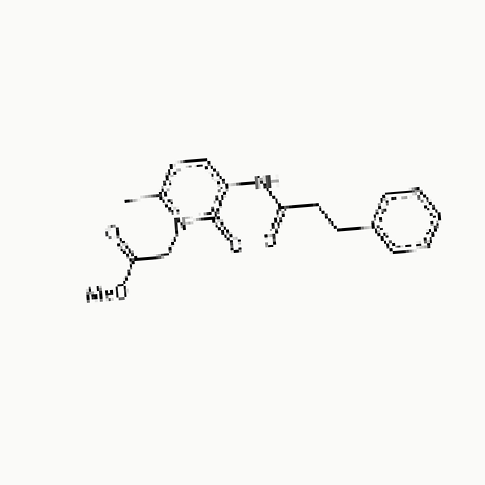 COC(=O)Cn1c(C)ccc(NC(=O)CCc2ccccc2)c1=O